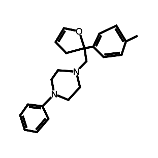 Cc1ccc(C2(CN3CCN(c4ccccc4)CC3)CC=CO2)cc1